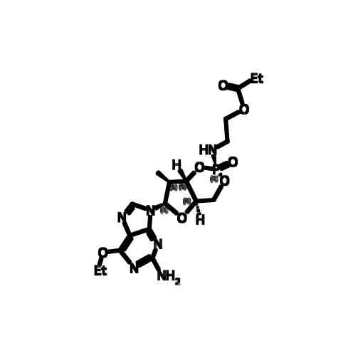 CCOc1nc(N)nc2c1ncn2[C@@H]1O[C@@H]2CO[P@](=O)(NCCOC(=O)CC)O[C@H]2[C@@H]1C